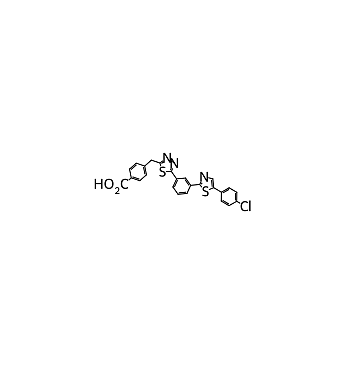 O=C(O)c1ccc(Cc2nnc(-c3cccc(-c4ncc(-c5ccc(Cl)cc5)s4)c3)s2)cc1